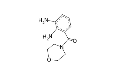 Nc1cccc(C(=O)N2CCOCC2)c1N